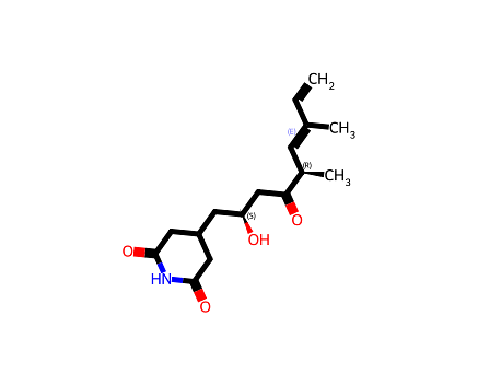 C=C/C(C)=C/[C@@H](C)C(=O)C[C@@H](O)CC1CC(=O)NC(=O)C1